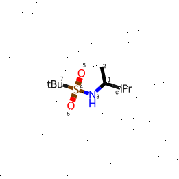 CC(C)C(C)NS(=O)(=O)C(C)(C)C